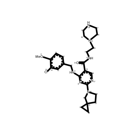 COc1ccc(CNc2nc(N3CCC4(CC4)C3)ncc2C(=O)NCCN2CCNCC2)cc1Cl